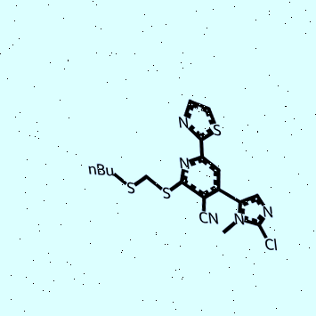 CCCCSCSc1nc(-c2nccs2)cc(-c2cnc(Cl)n2C)c1C#N